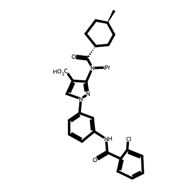 CC(C)N(c1nn(-c2cccc(NC(=O)c3ccccc3Cl)c2)cc1C(=O)O)C(=O)[C@H]1CC[C@H](C)CC1